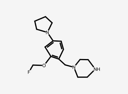 FCOc1cc(N2CCCC2)ccc1CN1CCNCC1